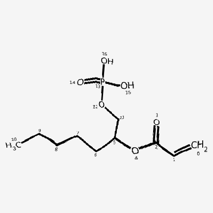 C=CC(=O)OC(CCCCC)COP(=O)(O)O